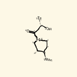 CC[C@H](O)C(=O)N1CCC(NC)CC1